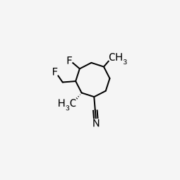 CC1CCC(C#N)[C@H](C)C(CF)C(F)C1